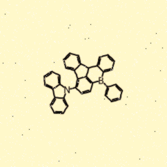 c1ccc(B2c3ccccc3C3c4ccccc4-c4c(-n5c6ccccc6c6ccccc65)ccc2c43)cc1